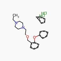 CCN1CCN(CCOCc2ccccc2Oc2ccccc2)CC1.Cl.Cl.c1cc2cc-2c1